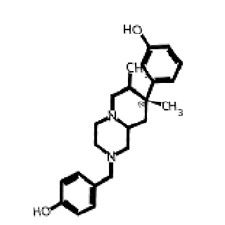 CC1CN2CCN(Cc3ccc(O)cc3)CC2C[C@@]1(C)c1cccc(O)c1